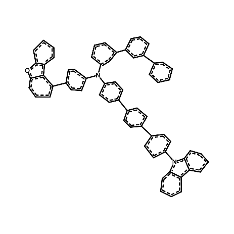 c1ccc(-c2cccc(-c3cccc(N(c4ccc(-c5ccc(-c6ccc(-n7c8ccccc8c8ccccc87)cc6)cc5)cc4)c4ccc(-c5cccc6oc7ccccc7c56)cc4)c3)c2)cc1